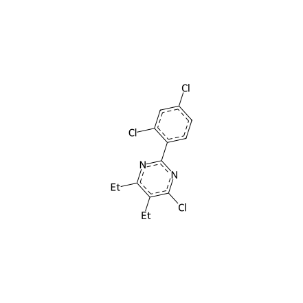 CCc1nc(-c2ccc(Cl)cc2Cl)nc(Cl)c1CC